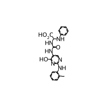 Cc1ccccc1Nc1ncc(NC(=O)N[C@H](Nc2ccccc2)C(=O)O)c(O)n1